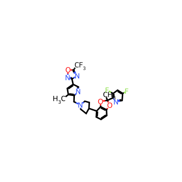 Cc1cc(-c2noc(C(F)(F)F)n2)cnc1CN1CCC(c2cccc3c2OC(C)(c2ncc(F)cc2F)O3)CC1